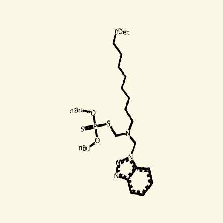 CCCCCCCCCCCCCCCCCCN(CSP(=S)(OCCCC)OCCCC)Cn1nnc2ccccc21